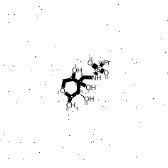 CC1OCC(O)C(O)(CNS(=O)(=O)C(C)C)[C@@H]1O